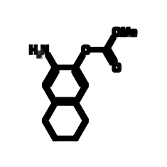 COC(=O)Oc1cc2c(cc1N)CCCC2